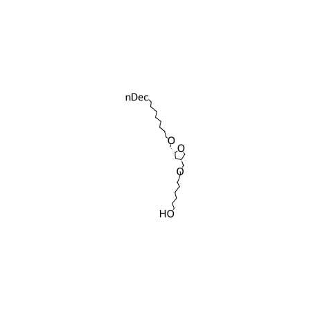 CCCCCCCCCCCCCCCCCCOC[C@H]1C[C@H](COCCCCCCCO)CO1